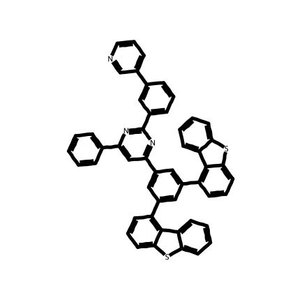 c1ccc(-c2cc(-c3cc(-c4cccc5sc6ccccc6c45)cc(-c4cccc5sc6ccccc6c45)c3)nc(-c3cccc(-c4cccnc4)c3)n2)cc1